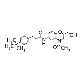 CC(=O)N1CC(CO)Oc2ccc(NC(=O)CCc3ccc(C(C)(C)C)cc3)cc21